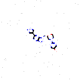 Cn1cc(-c2cnc3nnn(C[C@@H]4CN(c5ncc(O)cn5)CCO4)c3n2)cn1